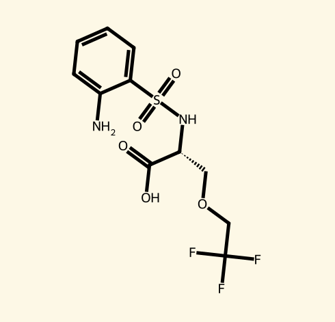 Nc1ccccc1S(=O)(=O)N[C@H](COCC(F)(F)F)C(=O)O